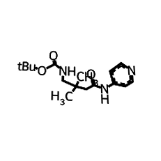 CC(C)(CNC(=O)OC(C)(C)C)CC(=O)Nc1ccncc1